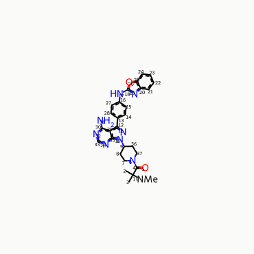 CNC(C)(C)C(=O)N1CCC(n2nc(-c3ccc(Nc4nc5ccccc5o4)cc3)c3c(N)ncnc32)CC1